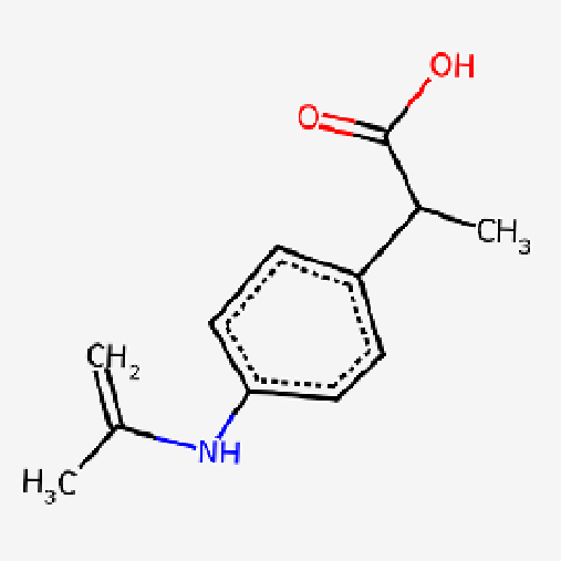 C=C(C)Nc1ccc(C(C)C(=O)O)cc1